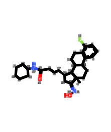 C[C@]12CCC3c4cccc(F)c4CCC3C1[C@H](CCCC(=O)NC1CCCCC1)C/C2=N\O